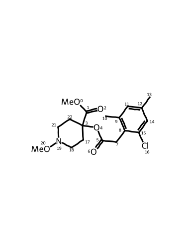 COC(=O)C1(OC(=O)Cc2c(C)cc(C)cc2Cl)CCN(OC)CC1